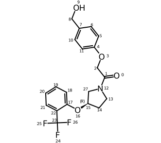 O=C(COc1ccc(CO)cc1)N1CC[C@@H](Oc2ccccc2C(F)(F)F)C1